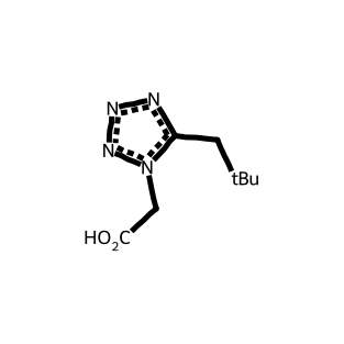 CC(C)(C)Cc1nnnn1CC(=O)O